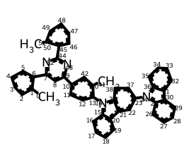 Cc1ccccc1-c1cc(-c2ccc(-n3c4ccccc4c4cc(-n5c6ccccc6c6ccccc65)ccc43)c(C)c2)nc(-c2ccccc2C)n1